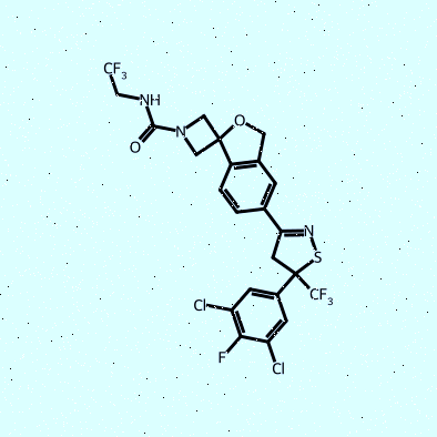 O=C(NCC(F)(F)F)N1CC2(C1)OCc1cc(C3=NSC(c4cc(Cl)c(F)c(Cl)c4)(C(F)(F)F)C3)ccc12